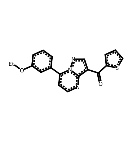 CCOc1cccc(-c2ccnc3c(C(=O)c4cccs4)cnn23)c1